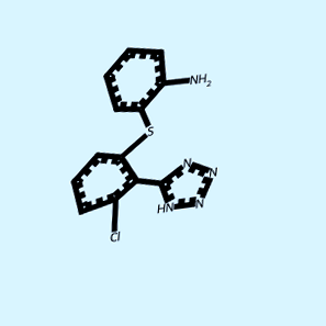 Nc1ccccc1Sc1cccc(Cl)c1-c1nnn[nH]1